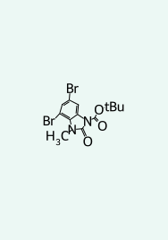 Cn1c(=O)n(C(=O)OC(C)(C)C)c2cc(Br)cc(Br)c21